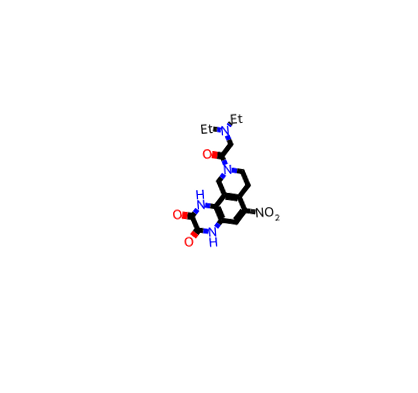 CCN(CC)CC(=O)N1CCc2c([N+](=O)[O-])cc3[nH]c(=O)c(=O)[nH]c3c2C1